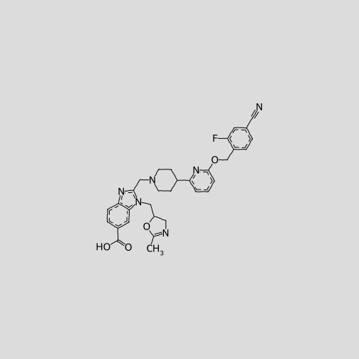 CC1=NCC(Cn2c(CN3CCC(c4cccc(OCc5ccc(C#N)cc5F)n4)CC3)nc3ccc(C(=O)O)cc32)O1